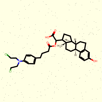 C[C@]12CC[C@@H]3c4ccc(O)cc4CC[C@H]3[C@@H]1CCC2C(OC(=O)CCCc1ccc(N(CCCl)CCCl)cc1)C(=O)O